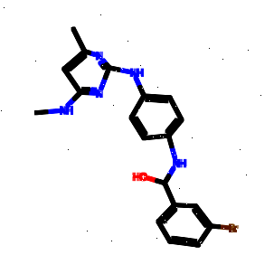 CNc1cc(C)nc(Nc2ccc(NC(O)c3cccc(Br)c3)cc2)n1